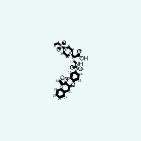 CCS(=O)(=O)N1CCN([C@@H](CNS(=O)(=O)c2ccc(OC(Cc3ccccc3)c3ccon3)cc2)C(=O)O)CC1